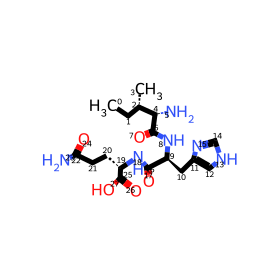 CC[C@H](C)[C@H](N)C(=O)N[C@@H](Cc1c[nH]cn1)C(=O)N[C@@H](CCC(N)=O)C(=O)O